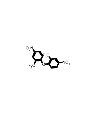 O=[N+]([O-])c1ccc(Oc2ccc([N+](=O)[O-])cc2C(F)(F)F)c(C(F)(F)F)c1